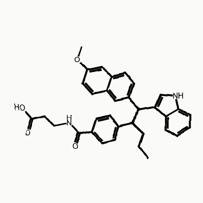 CCCC(c1ccc(C(=O)NCCC(=O)O)cc1)C(c1ccc2cc(OC)ccc2c1)c1c[nH]c2ccccc12